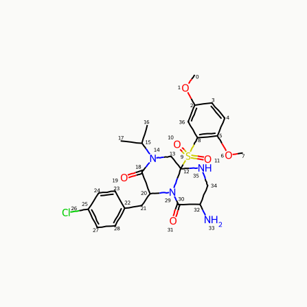 COc1ccc(OC)c(S(=O)(=O)C23CN(C(C)C)C(=O)C(Cc4ccc(Cl)cc4)N2C(=O)C(N)CN3)c1